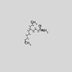 CCCCCCC(CCC)CCCC(N)=O